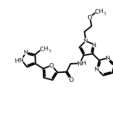 COCCn1cc(NCC(=O)c2ccc(-c3c[nH]nc3C)o2)c(-c2ncccn2)n1